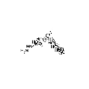 CC(=O)O.CC(=O)O.CC(=O)O.CC(=O)O.CC(=O)O.CNc1ccccc1.NCCNCCN.O=S(=O)(O)O